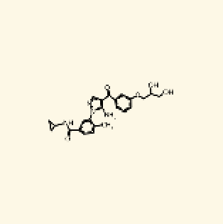 Cc1ccc(C(=O)NC2CC2)cc1-n1ncc(C(=O)c2cccc(OCC(O)CO)c2)c1N